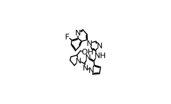 OCC1CCCN1c1nc(Nc2cn(-c3ccnc4c(F)cccc34)cn2)c2cccn2n1